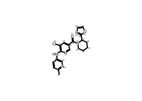 Cc1ccc(Nc2ncc(C(=O)N3CCCCC3c3ncco3)cc2Cl)cn1